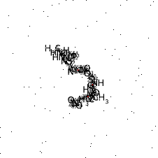 CCNC(=O)Nc1nc2cc(-c3cncc(N4CCN(C(=O)OCc5ccc(NC(=O)CNC(=O)[C@@H](NC(=O)CCCCCN6C(=O)C=CC6=O)C(C)C)cc5)CC4)c3)cc(-c3ccccn3)c2[nH]1